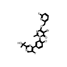 Cc1nc(OCc2cccc(F)n2)c(Br)c(=O)n1-c1cc(-c2nc(C(C)(C)O)ncc2F)ccc1Cl